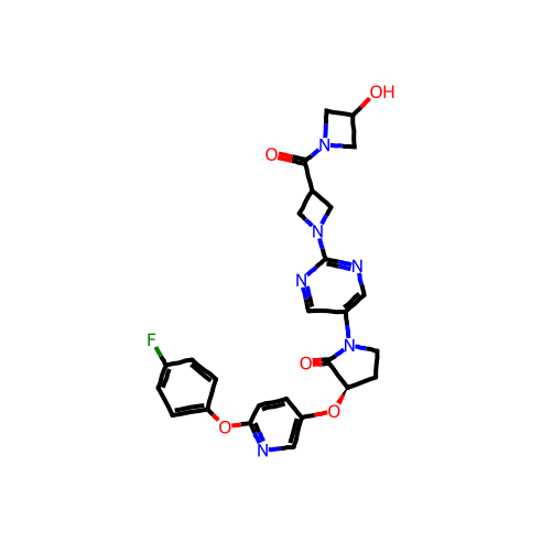 O=C(C1CN(c2ncc(N3CC[C@@H](Oc4ccc(Oc5ccc(F)cc5)nc4)C3=O)cn2)C1)N1CC(O)C1